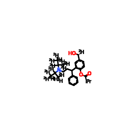 [2H][C@@H](O)c1ccc(OC(=O)C(C)C)c(C(CCN(C([2H])(C([2H])([2H])[2H])C([2H])([2H])[2H])C([2H])(C([2H])([2H])[2H])C([2H])([2H])[2H])c2ccccc2)c1